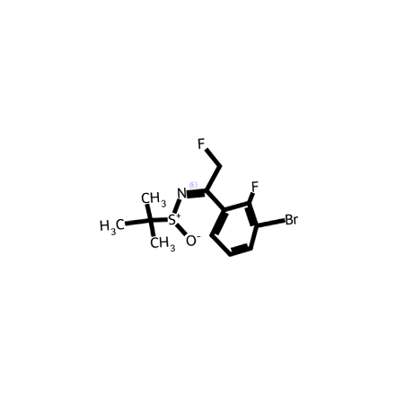 CC(C)(C)[S+]([O-])/N=C(/CF)c1cccc(Br)c1F